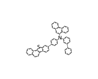 c1ccc(-c2cccc(N(c3ccc(-c4ccc5c(c4)sc4c6ccccc6ccc54)cc3)c3cc4ccccc4c4ccccc34)c2)cc1